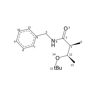 C[C@H](C(=O)NCc1ccccc1)[C@@H](C)OC(C)(C)C